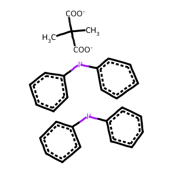 CC(C)(C(=O)[O-])C(=O)[O-].c1ccc([I+]c2ccccc2)cc1.c1ccc([I+]c2ccccc2)cc1